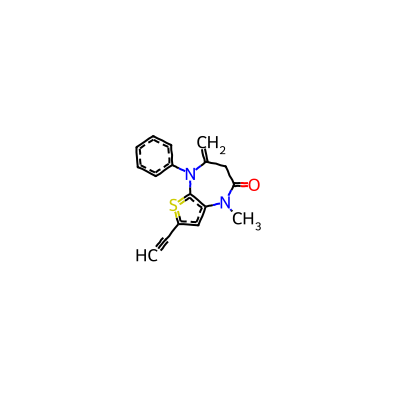 C#Cc1cc2c(s1)N(c1ccccc1)C(=C)CC(=O)N2C